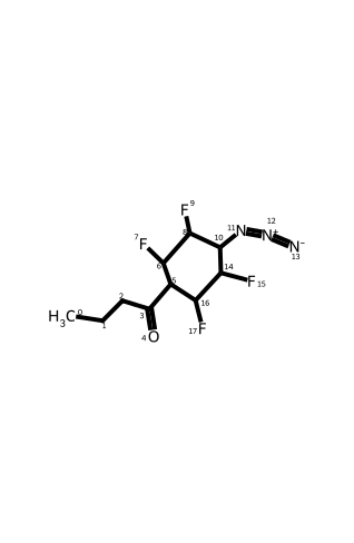 CCCC(=O)C1C(F)C(F)C(N=[N+]=[N-])C(F)C1F